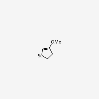 COC1=C[Se]CC1